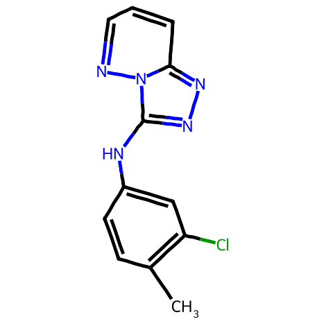 Cc1ccc(Nc2nnc3cccnn23)cc1Cl